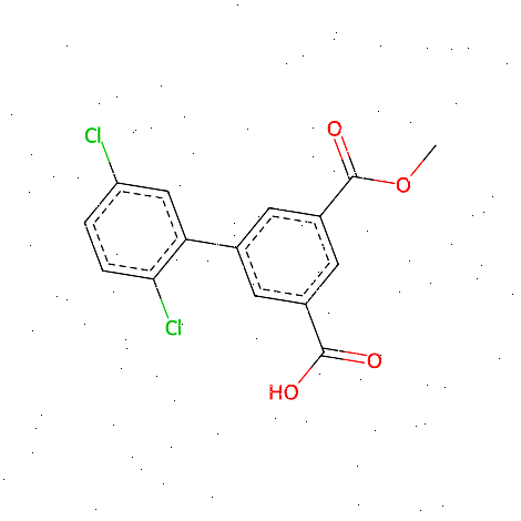 COC(=O)c1cc(C(=O)O)cc(-c2cc(Cl)ccc2Cl)c1